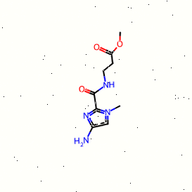 COC(=O)CCNC(=O)c1nc(N)cn1C